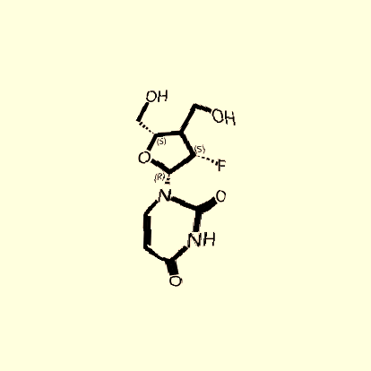 O=c1ccn([C@@H]2O[C@H](CO)C(CO)[C@@H]2F)c(=O)[nH]1